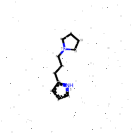 c1c[nH]c(CCCN2CCCC2)c1